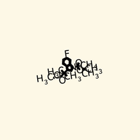 CCOC(=O)C(C)(C)c1cn(C(=O)OC(C)(C)C)c2cc(F)ccc12